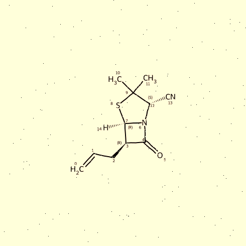 C=CC[C@@H]1C(=O)N2[C@@H]1SC(C)(C)[C@@H]2C#N